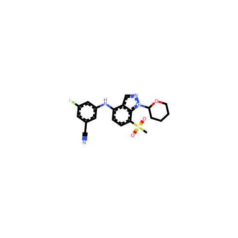 CS(=O)(=O)c1ccc(Nc2cc(F)cc(C#N)c2)c2cnn(C3CCCCO3)c12